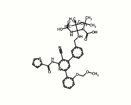 COCOc1ccccc1-c1cc(-c2cccc(CNC(NC(=O)O)(N(C(=O)O)C(C)(C)C)C(C)(C)C)c2)c(C#N)c(NC(=O)c2cccs2)n1